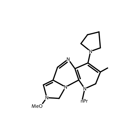 CCCN1CC(C)=C(N2CCCC2)C2=C1N1CN(OC)C=C1C=N2